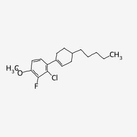 CCCCCC1CC=C(c2ccc(OC)c(F)c2Cl)CC1